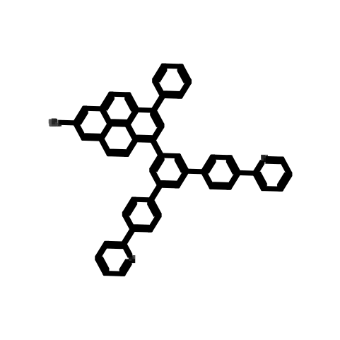 CC(C)(C)c1cc2ccc3c(-c4ccccc4)cc(-c4cc(-c5ccc(-c6ccccn6)cc5)cc(-c5ccc(-c6ccccn6)cc5)c4)c4ccc(c1)c2c34